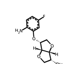 Nc1ccc(F)cc1O[C@@H]1CO[C@H]2[C@@H]1OC[C@H]2O